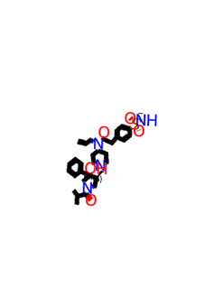 C=CCN(C(=O)Cc1ccc(S(=O)(=O)NC)cc1)C1CCN(C[C@H]2CN(C(=O)C(C)C)C[C@]2(O)c2ccccc2)CC1